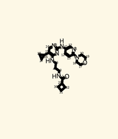 O=C(NCCCNc1nc(Nc2ccc(N3CCOCC3)nc2)ncc1C1CC1)C1CCC1